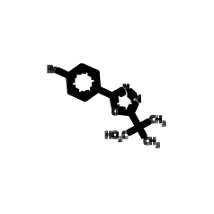 CC(C)(C(=O)O)c1nnc(-c2ccc(Br)cc2)o1